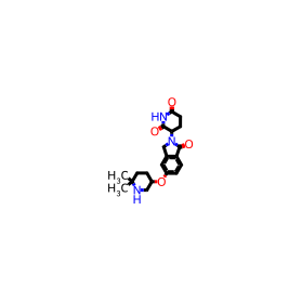 CC1(C)CCC(Oc2ccc3c(c2)CN(C2CCC(=O)NC2=O)C3=O)CN1